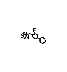 Fc1cc(-c2ccccc2)ccc1Cc1ncsn1